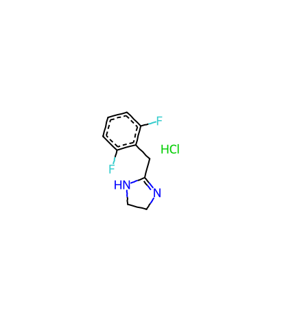 Cl.Fc1cccc(F)c1CC1=NCCN1